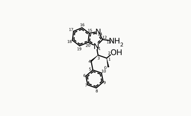 C[C@H](O)[C@@H](Cc1ccccc1)n1c(N)nc2ccccc21